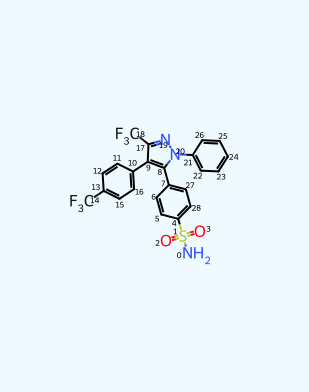 NS(=O)(=O)c1ccc(-c2c(-c3ccc(C(F)(F)F)cc3)c(C(F)(F)F)nn2-c2ccccc2)cc1